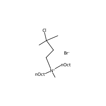 CCCCCCCC[N+](C)(CCCCCCCC)CCC(C)(C)Cl.[Br-]